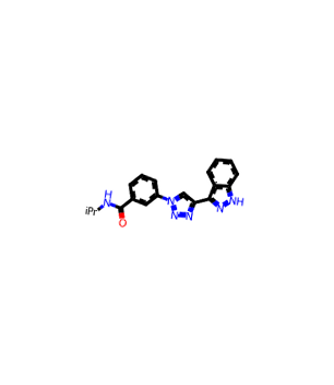 CC(C)NC(=O)c1cccc(-n2cc(-c3n[nH]c4ccccc34)nn2)c1